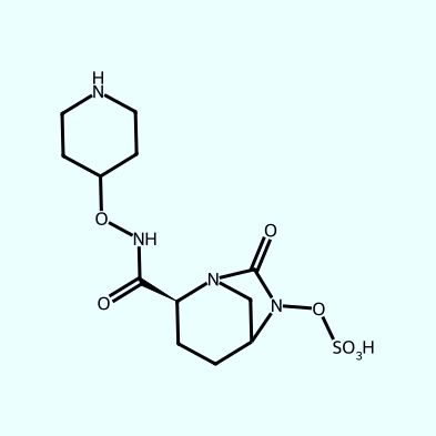 O=C(NOC1CCNCC1)[C@@H]1CCC2CN1C(=O)N2OS(=O)(=O)O